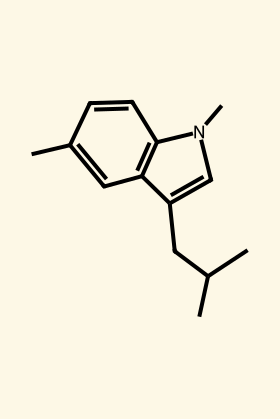 Cc1ccc2c(c1)c(CC(C)C)cn2C